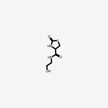 O=C1NC(C(=O)NCCO)CS1